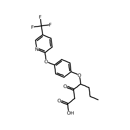 CCCC(Oc1ccc(Oc2ccc(C(F)(F)F)cn2)cc1)C(=O)CC(=O)O